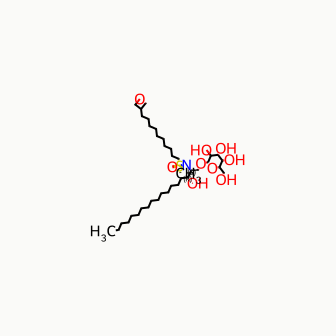 CCCCCCCCCCCCCCC[C@@H](O)[C@H](COC1OC(CO)C(O)C(O)C1O)N=S(C)(=O)CCCCCCCCCCC1COC1